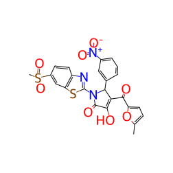 Cc1ccc(C(=O)C2=C(O)C(=O)N(c3nc4ccc(S(C)(=O)=O)cc4s3)C2c2cccc([N+](=O)[O-])c2)o1